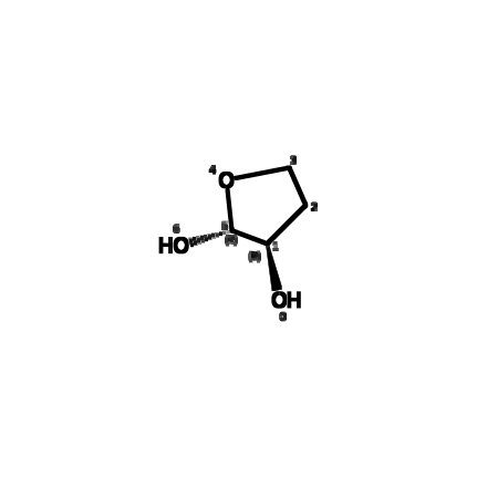 O[C@@H]1CCO[C@H]1O